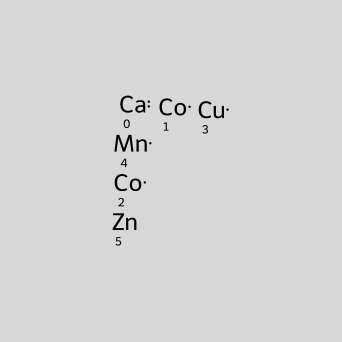 [Ca].[Co].[Co].[Cu].[Mn].[Zn]